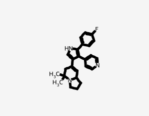 CC1(C)CC(c2c[nH]c(-c3ccc(F)cc3)c2-c2ccncc2)=CC2CCCN21